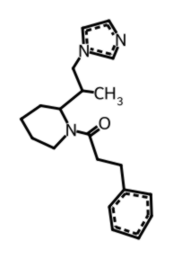 CC(Cn1ccnc1)C1CCCCN1C(=O)CCc1ccccc1